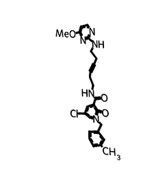 COc1ccnc(NCCC#CCCNC(=O)c2cc(Cl)cn(Cc3cccc(C)c3)c2=O)n1